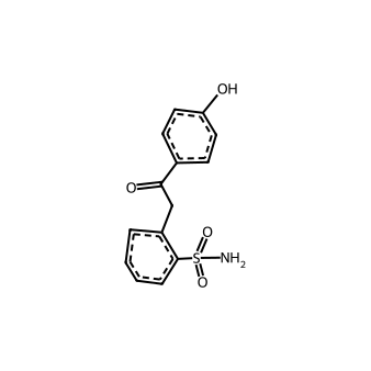 NS(=O)(=O)c1ccccc1CC(=O)c1ccc(O)cc1